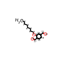 CCCCCCCCOc1cc(C=O)ccc1C=O